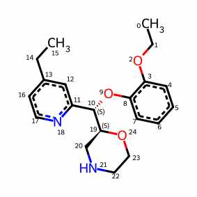 CCOc1ccccc1O[C@@H](c1cc(CC)ccn1)[C@@H]1CNCCO1